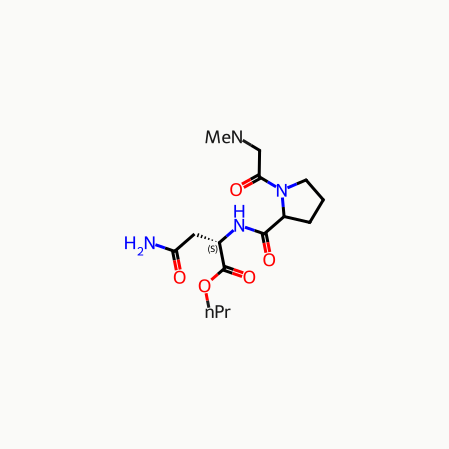 CCCOC(=O)[C@H](CC(N)=O)NC(=O)C1CCCN1C(=O)CNC